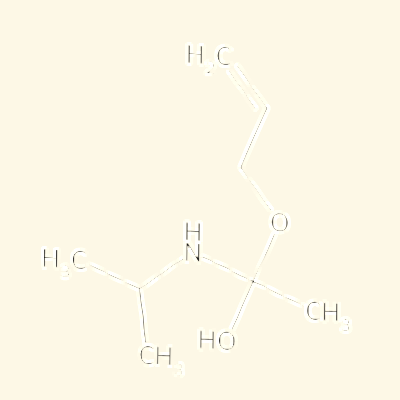 C=CCOC(C)(O)NC(C)C